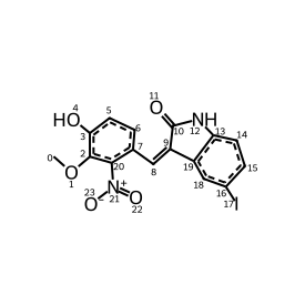 COc1c(O)ccc(C=C2C(=O)Nc3ccc(I)cc32)c1[N+](=O)[O-]